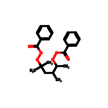 CC(CC(C)(C)OOC(=O)c1ccccc1)C(C)OOC(=O)c1ccccc1